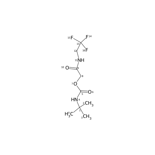 CC(C)(C)NC(=O)OCC(=O)NCC(F)(F)F